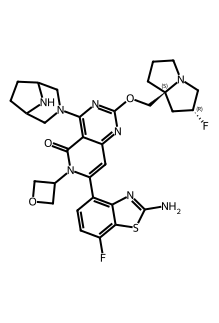 Nc1nc2c(-c3cc4nc(OC[C@@]56CCCN5C[C@H](F)C6)nc(N5CC6CCC(C5)N6)c4c(=O)n3C3COC3)ccc(F)c2s1